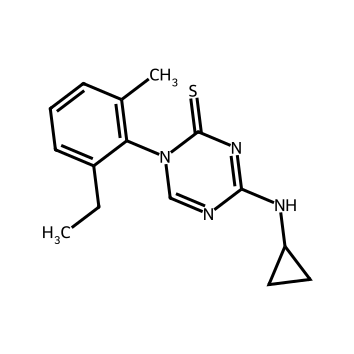 CCc1cccc(C)c1-n1cnc(NC2CC2)nc1=S